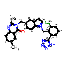 CCCCc1nc2ccc(C)cc2c(=O)n1Cc1ccc2c(ccn2Cc2c(Cl)cccc2-c2nnn[nH]2)c1